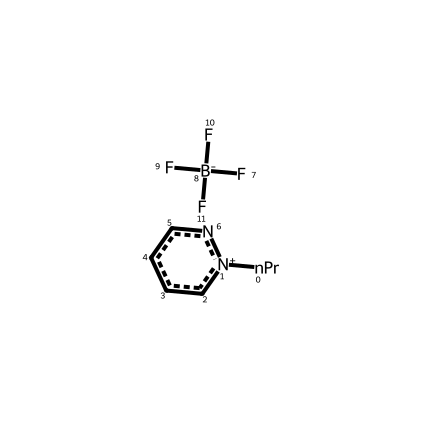 CCC[n+]1ccccn1.F[B-](F)(F)F